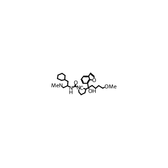 CNCC(CC1CCCCC1)NC(=O)N1CCCC(C(O)(CCCCOC)c2cccc3ccoc23)C1